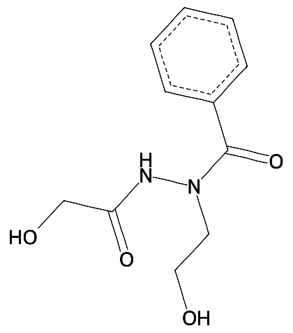 O=C(CO)NN(CCO)C(=O)c1ccccc1